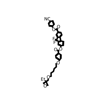 CCC1(COCCCCCCOc2ccc(C(=O)Oc3ccc4c(c3)C(F)(F)c3cc(C(=O)Oc5ccc(C#N)cc5)ccc3-4)cc2)COC1